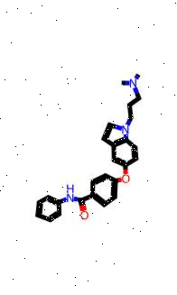 CN(C)CCCn1ccc2cc(Oc3ccc(C(=O)Nc4ccccc4)cc3)ccc21